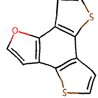 c1cc2c(o1)c1ccsc1c1ccsc21